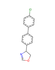 Clc1ccc(-c2ccc(C3CO[C]=N3)cc2)cc1